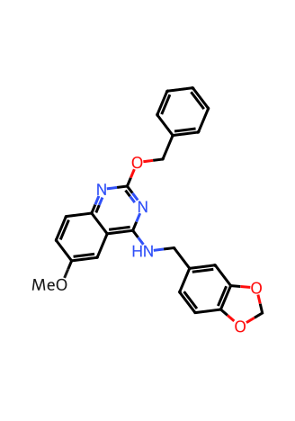 COc1ccc2nc(OCc3ccccc3)nc(NCc3ccc4c(c3)OCO4)c2c1